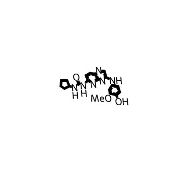 COc1cc(Nc2cnc3ccc(NC(=O)NC4CCCC4)nc3n2)ccc1O